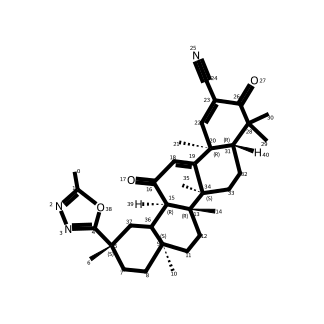 Cc1nnc([C@@]2(C)CC[C@]3(C)CC[C@]4(C)[C@H](C(=O)C=C5[C@@]6(C)C=C(C#N)C(=O)C(C)(C)[C@@H]6CC[C@]54C)C3C2)o1